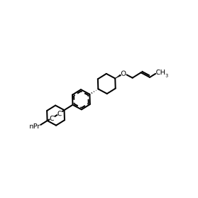 C/C=C/CO[C@H]1CC[C@H](c2ccc(C34CCC(CCC)(CC3)CC4)cc2)CC1